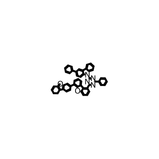 C1=Cc2oc3cc(-c4cccc5c4oc4cccc(-c6nc(-c7ccccc7)nc(-n7c8ccccc8c8cc(-c9ccccc9)ccc87)n6)c45)ccc3c2CC1